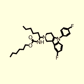 CCCCCCOC(=O)NC(CCCCC)N1CCc2c(c3cc(F)ccc3n2-c2ccc(F)cc2)C1